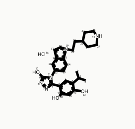 CC(C)c1cc(-c2nnc(O)n2-c2ccc3c(ccn3CCC3CCNCC3)c2)c(O)cc1O.Cl